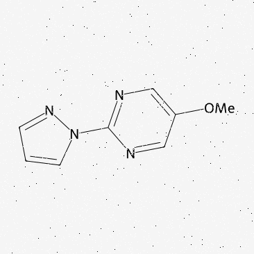 COc1cnc(-n2cccn2)nc1